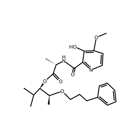 COc1ccnc(C(=O)N[C@@H](C)C(=O)O[C@H](C(C)C)[C@H](C)OCCCc2ccccc2)c1O